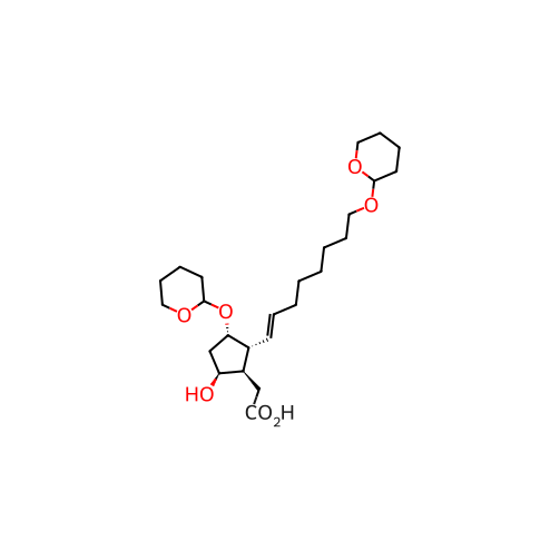 O=C(O)C[C@@H]1[C@@H](C=CCCCCCCOC2CCCCO2)[C@@H](OC2CCCCO2)C[C@@H]1O